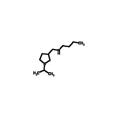 CCCCNCC1CCN(C(C)C)C1